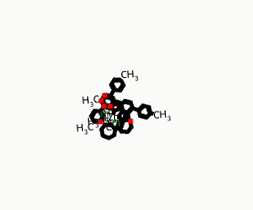 Cc1ccc(-c2ccc(-c3ccc(C)cc3)c3c2C=C(CC2CCCCCC2)[CH]3[Zr]([Cl])([Cl])([CH]2C(CC3CCCCCC3)=Cc3c(-c4ccc(C)cc4)ccc(-c4ccc(C)cc4)c32)[SiH](C)C)cc1